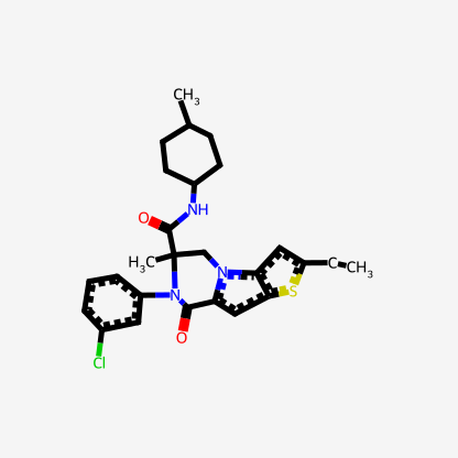 CCc1cc2c(cc3n2CC(C)(C(=O)NC2CCC(C)CC2)N(c2cccc(Cl)c2)C3=O)s1